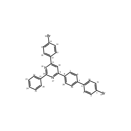 Brc1ccc(-c2ccc(-c3cc(-c4ccc(Br)cc4)nc(-c4ccccc4)n3)cc2)cc1